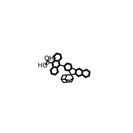 OB(O)c1c2ccccc2c(-c2ccc3c(c2)C2(c4cc5ccccc5cc4-3)C3CC4CC(C3)CC2C4)c2ccccc12